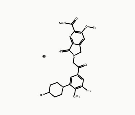 Br.CCOc1cc2c(nc1C(=O)NC)C(=N)N(CC(=O)c1cc(N3CCC(O)CC3)c(OC)c(C(C)(C)C)c1)C2